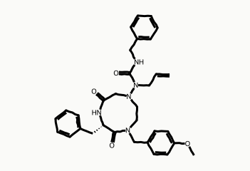 C=CCN(C(=O)NCc1ccccc1)N1CCN(Cc2ccc(OC)cc2)C(=O)[C@H](Cc2ccccc2)NC(=O)C1